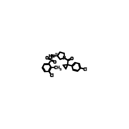 Cc1c(Cl)cccc1S(=O)(=O)N[C@H]1CCN(C(=O)C2(c3ccc(Cl)cc3)CC2)C1